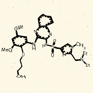 CCN(CC)Cc1nc(S(=O)(=O)Nc2nc3ccccc3nc2Nc2cc(OC)cc(OC)c2OCCCO)cn1C